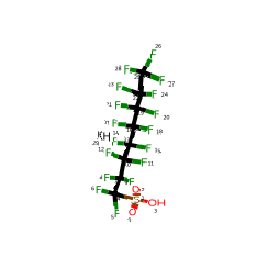 O=S(=O)(O)C(F)(F)C(F)(F)C(F)(F)C(F)(F)C(F)(F)C(F)(F)C(F)(F)C(F)(F)F.[KH]